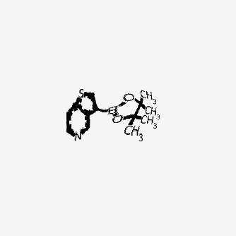 CC1(C)OB(c2csc3ccncc23)OC1(C)C